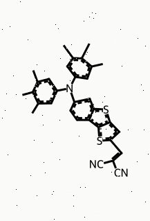 Cc1cc(N(c2cc(C)c(C)c(C)c2)c2ccc3c(c2)sc2cc(C=C(C#N)C#N)sc23)cc(C)c1C